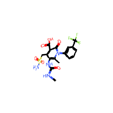 CNC(=O)Nc1c(CS(N)(=O)=O)c(C(=O)O)c(=O)n(-c2cccc(C(F)(F)F)c2)c1C